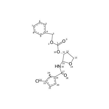 O=C(OCc1ccccc1)O[C@@H]1CCOC1NC(=O)c1ccc(Cl)s1